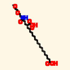 COCCOCCNC(=O)CC[C@H](CC(=O)CCCCCCCCCCCCCCCCC(=O)O)C(=O)O